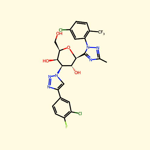 Cc1nc([C@@H]2O[C@H](CO)[C@H](O)[C@H](n3cc(-c4ccc(F)c(Cl)c4)nn3)[C@H]2O)n(-c2cc(Cl)ccc2C(F)(F)F)n1